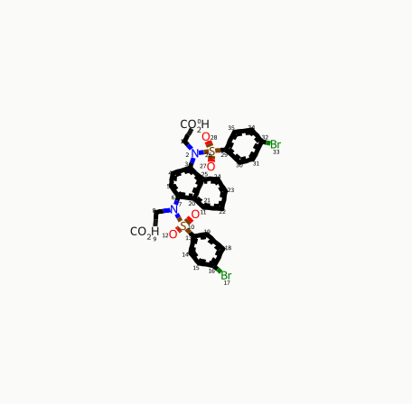 O=C(O)CN(c1ccc(N(CC(=O)O)S(=O)(=O)c2ccc(Br)cc2)c2ccccc12)S(=O)(=O)c1ccc(Br)cc1